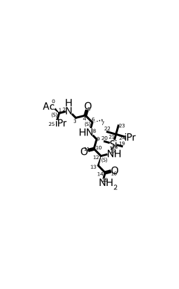 CC(=O)[C@@H](NCC(=O)[C@H](C)NCC(=O)[C@H](CC(N)=O)N[Si](C)(C)C(C)(C)C(C)C)C(C)C